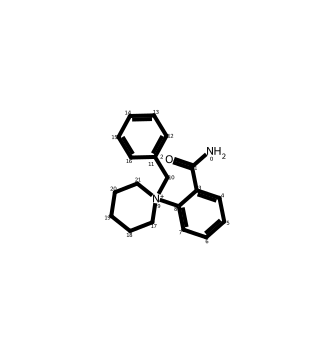 NC(=O)c1ccccc1[N+]1(Cc2ccccc2)CCCCC1